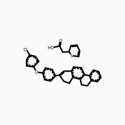 Clc1ccc(Oc2ccc(C3=Cc4ccc5c(c4CC3)CCc3ccccc3-5)cc2)cc1.O=C(O)CC1C=CC=CS1